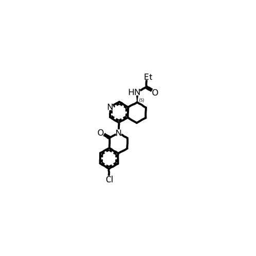 CCC(=O)N[C@H]1CCCc2c1cncc2N1CCc2cc(Cl)ccc2C1=O